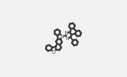 c1ccc(-c2nc(-n3c4ccccc4c4cc5c(ccc6oc7ccccc7c65)cc43)nc3c4ccccc4c4ccccc4c23)cc1